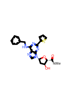 CNC(=O)[C@H]1O[C@@H](n2cnc3c(NCc4ccccc4)nc(-c4cccs4)nc32)C[C@@H]1O